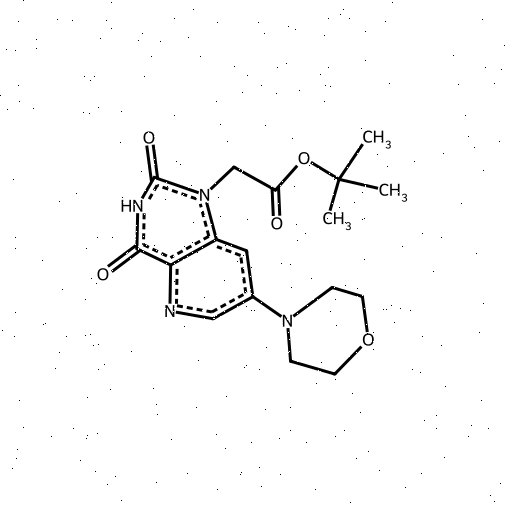 CC(C)(C)OC(=O)Cn1c(=O)[nH]c(=O)c2ncc(N3CCOCC3)cc21